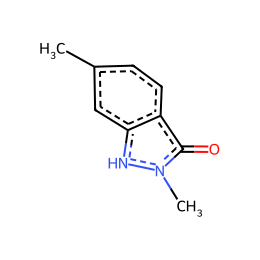 Cc1ccc2c(=O)n(C)[nH]c2c1